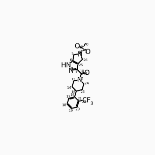 CS(=O)(=O)N1Cc2[nH]nc(C(=O)N3CCC(c4ccccc4C(F)(F)F)CC3)c2C1